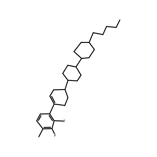 CCCCCC1CCC(C2CCC(C3CC=C(c4ccc(C)c(F)c4F)CC3)CC2)CC1